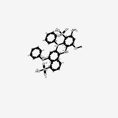 COc1cc(N)c(S(=O)(=O)O)c2c1Nc1c(cc(Nc3ccccc3)c3c(S(=O)(=O)O)cccc13)N2c1ccccc1